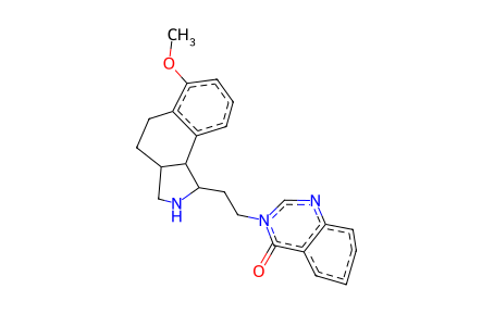 COc1cccc2c1CCC1CNC(CCn3cnc4ccccc4c3=O)C21